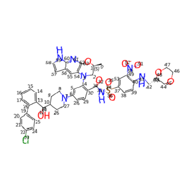 C[C@H]1CN(c2cc(N3CCC([C@@H](O)c4ccccc4-c4ccc(Cl)cc4)CC3)ccc2C(=O)NS(=O)(=O)c2ccc(NC[C@H]3COCCO3)c([N+](=O)[O-])c2)c2cc3cc[nH]c3nc2O1